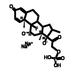 CC1CC2C3CCC4=CC(=O)C=C[C@]4(C)C3(F)[C@@H]([O-])C[C@]2(C)[C@@]1([O-])C(=O)COP(=O)(O)O.[Na+].[Na+]